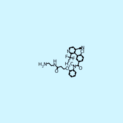 CN(C(=O)c1ccc(Cl)c(-c2c(C#N)ccnc2C(F)(F)F)c1)c1ccccc1OCCC(=O)NCCN